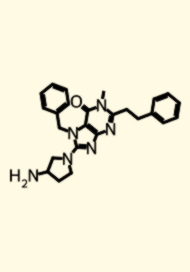 Cn1c(CCc2ccccc2)nc2nc(N3CCC(N)C3)n(Cc3ccccc3)c2c1=O